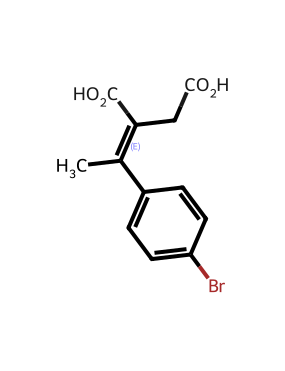 C/C(=C(/CC(=O)O)C(=O)O)c1ccc(Br)cc1